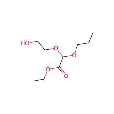 CCCOC(OCCO)C(=O)OCC